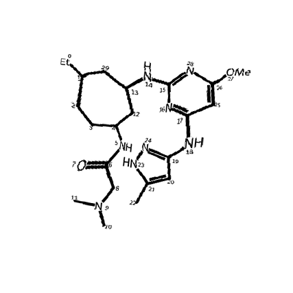 CCC1CCC(NC(=O)CN(C)C)CC(Nc2nc(Nc3cc(C)[nH]n3)cc(OC)n2)C1